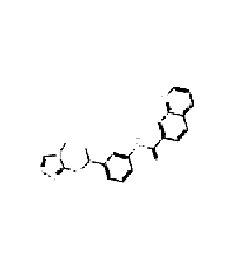 CC(Sc1nncn1C)c1cccc(NC(=O)c2ccc3cccnc3c2)c1